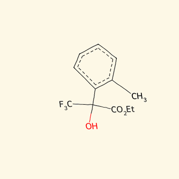 CCOC(=O)C(O)(c1ccccc1C)C(F)(F)F